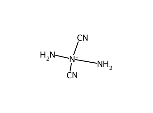 N#C[N+](N)(N)C#N